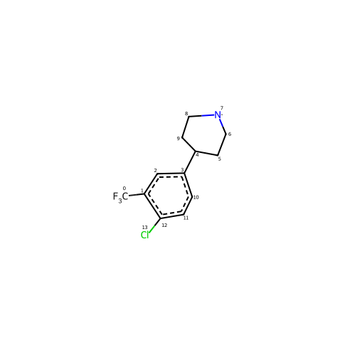 FC(F)(F)c1cc(C2CC[N]CC2)ccc1Cl